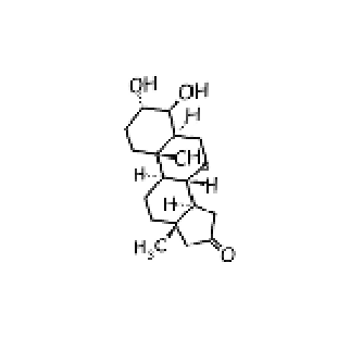 C[C@@]12CC[C@@H]3[C@H](CC[C@@H]4[C@H](O)[C@@H](O)CC[C@]43C)[C@H]1CC(=O)C2